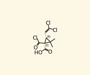 CC1(C)[C@@H](C=C(Cl)Cl)[C@]1(C(=O)O)C(=O)Cl